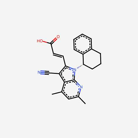 Cc1cc(C)c2c(C#N)c(C=CC(=O)O)n([C@H]3CCCc4ccccc43)c2n1